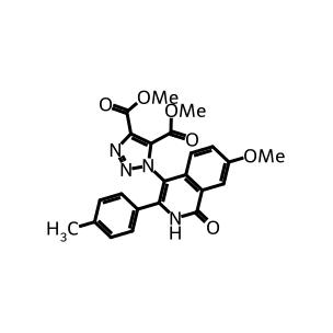 COC(=O)c1nnn(-c2c(-c3ccc(C)cc3)[nH]c(=O)c3cc(OC)ccc23)c1C(=O)OC